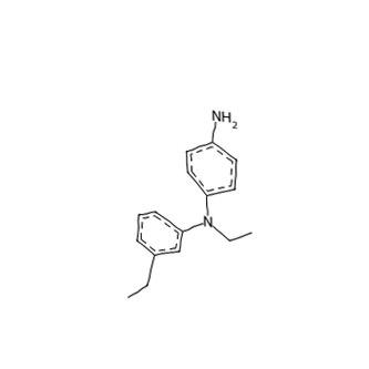 CCc1cccc(N(CC)c2ccc(N)cc2)c1